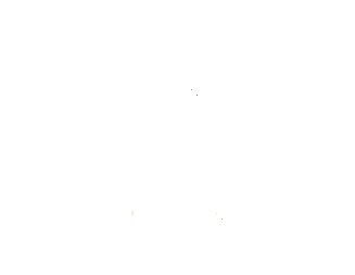 CC(C)CC(N)CC(C)(C)CC(C)C1=CC(N)=CC(C(C)C)C1